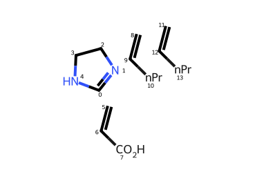 C1=NCCN1.C=CC(=O)O.C=CCCC.C=CCCC